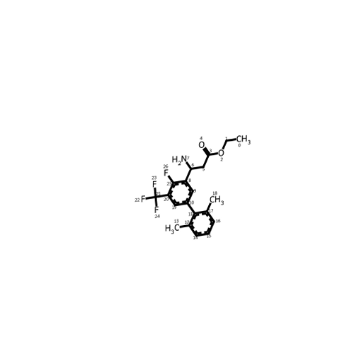 CCOC(=O)CC(N)c1cc(-c2c(C)cccc2C)cc(C(F)(F)F)c1F